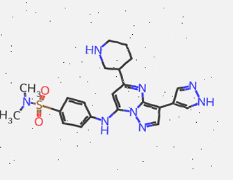 CN(C)S(=O)(=O)c1ccc(Nc2cc(C3CCCNC3)nc3c(-c4cn[nH]c4)cnn23)cc1